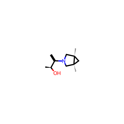 C=C([C@H](C)O)N1C[C@@]2(C)C[C@@]2(C)C1